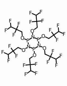 FC(F)C(F)(F)CON1P(OCC(F)(F)C(F)F)N(OCC(F)(F)C(F)F)P(OCC(F)(F)C(F)F)N(OCC(F)(F)C(F)F)P1OCC(F)(F)C(F)F